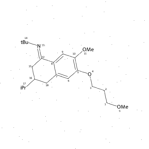 COCCCOc1cc2c(cc1OC)/C(=N/C(C)(C)C)CC(C(C)C)C2